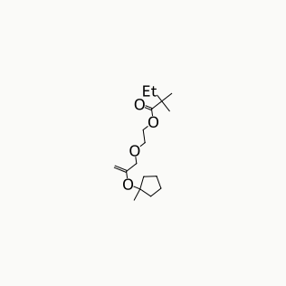 C=C(COCCOC(=O)C(C)(C)CC)OC1(C)CCCC1